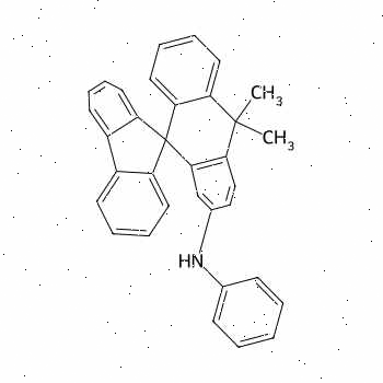 CC1(C)c2ccccc2C2(c3ccccc3-c3ccccc32)c2cc(Nc3ccccc3)ccc21